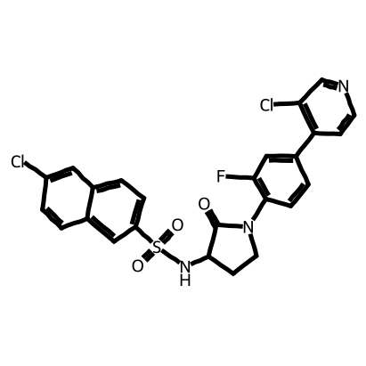 O=C1C(NS(=O)(=O)c2ccc3cc(Cl)ccc3c2)CCN1c1ccc(-c2ccncc2Cl)cc1F